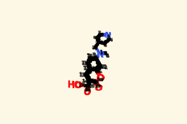 CN(Cc1ccncc1)c1ccc2cc(C(=O)O)c(=O)oc2c1